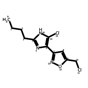 CCCCc1nc(-c2cc(CCl)on2)c(Cl)[nH]1